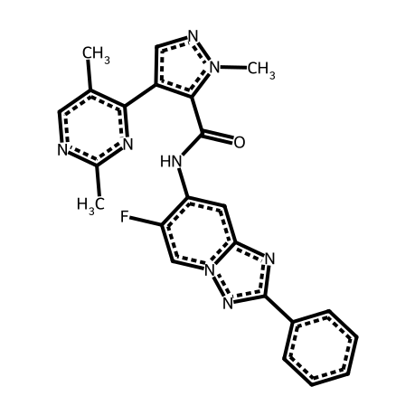 Cc1ncc(C)c(-c2cnn(C)c2C(=O)Nc2cc3nc(-c4ccccc4)nn3cc2F)n1